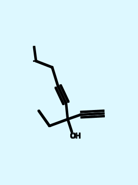 C#CC(O)(C#CC[CH]C)CC